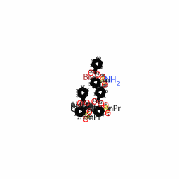 CCCCCCCC.CCCS(=O)(=O)c1cccc(C(C)(C)C)c1OC(=O)c1ccccc1.CCCS(=O)(=O)c1cccc(OC(=O)c2ccccc2)c1CC(C)C.NS(=O)(=O)c1cccc(Br)c1OC(=O)c1ccccc1